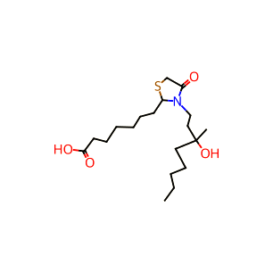 CCCCCC(C)(O)CCN1C(=O)CSC1CCCCCCC(=O)O